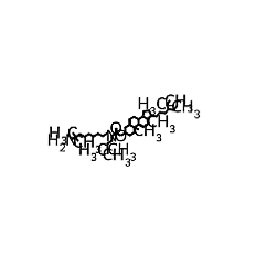 CCC(CCCC1CCC2C3CC=C4CC(OC(=O)N(CCCCCCCC(C)(C)N)CCC(C)(C)C)CCC4(C)C3CCC12C)C(C)C